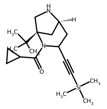 CC(C)(C)[C@]12CN[C@@H](CC(C#C[Si](C)(C)C)N1C(=O)C1CC1)C2